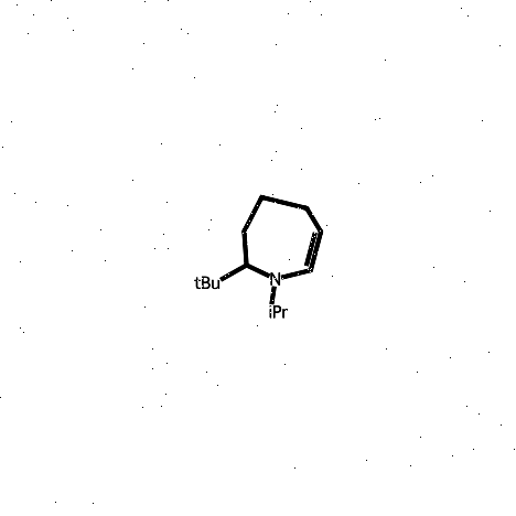 CC(C)N1C=CCCCC1C(C)(C)C